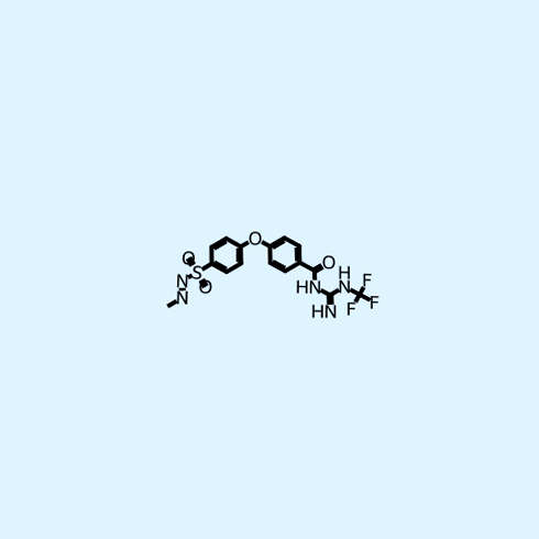 CN=NS(=O)(=O)c1ccc(Oc2ccc(C(=O)NC(=N)NC(F)(F)F)cc2)cc1